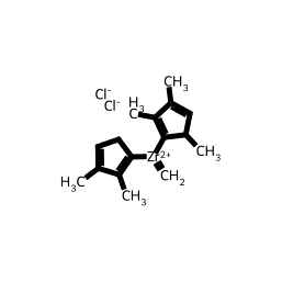 [CH2]=[Zr+2]([C]1=C(C)C(C)=CC1)[C]1=C(C)C(C)=CC1C.[Cl-].[Cl-]